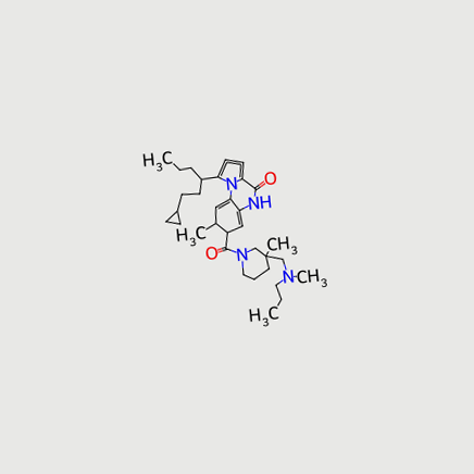 CCCC(CCC1CC1)C1=C=C=C2C(=O)NC3=CC(C(=O)N4CCCC(C)(CN(C)CCC)C4)C(C)C=C3N21